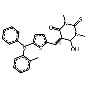 Cc1ccccc1N(c1ccccc1)c1ccc(/C=C2\C(=O)N(C)C(=S)N(C)C2O)s1